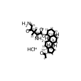 CC(=O)[C@H]1CC[C@H]2[C@@H]3CC[C@H]4CCCC(OC(=O)[C@@H](N)C(C)(C)C(=O)CN)[C@]4(C)[C@H]3CC[C@]12C.Cl